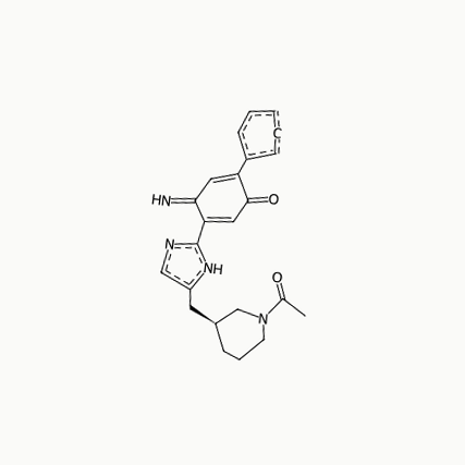 CC(=O)N1CCC[C@@H](Cc2cnc(C3=CC(=O)C(c4ccccc4)=CC3=N)[nH]2)C1